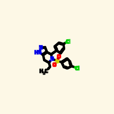 CCC1Cc2[nH]ncc2C(c2ccc(Cl)cc2)N1S(=O)(=O)c1ccc(Cl)cc1